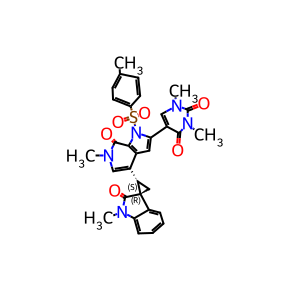 Cc1ccc(S(=O)(=O)n2c(-c3cn(C)c(=O)n(C)c3=O)cc3c([C@@H]4C[C@@]45C(=O)N(C)c4ccccc45)cn(C)c(=O)c32)cc1